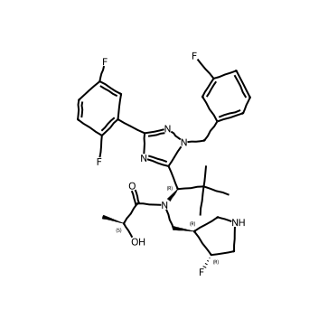 C[C@H](O)C(=O)N(C[C@H]1CNC[C@@H]1F)[C@@H](c1nc(-c2cc(F)ccc2F)nn1Cc1cccc(F)c1)C(C)(C)C